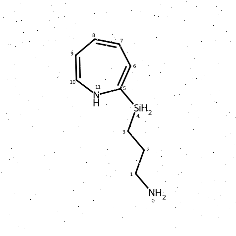 NCCC[SiH2]C1=CC=CC=CN1